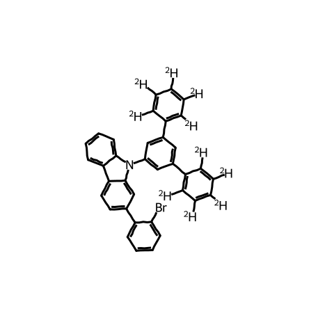 [2H]c1c([2H])c([2H])c(-c2cc(-c3c([2H])c([2H])c([2H])c([2H])c3[2H])cc(-n3c4ccccc4c4ccc(-c5ccccc5Br)cc43)c2)c([2H])c1[2H]